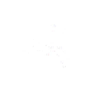 CCN1CCN(C(=O)NC(C(=O)N[C@H]2Cc3cccc(C(=O)O)c3OB2O)c2ccc(O)c(S(N)(=O)=O)c2)C(=O)C1=O